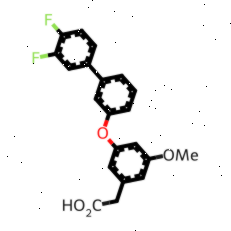 COc1cc(CC(=O)O)cc(Oc2cccc(-c3ccc(F)c(F)c3)c2)c1